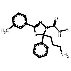 CCNC(=O)N1N=C(c2cccc(C)c2)SC1(CCCN)c1ccccc1